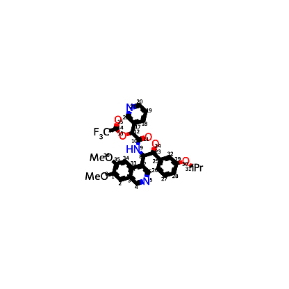 COc1cc2cncc(C(NC(=O)C(OC(=O)C(F)(F)F)c3cccnc3)C(=O)c3cccc(OC(C)C)c3)c2cc1OC